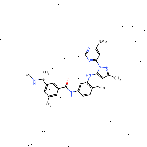 CNc1cc(-n2nc(C)cc2Nc2cc(NC(=O)c3cc([C@@H](C)NC(C)C)cc(C(F)(F)F)c3)ccc2C)ncn1